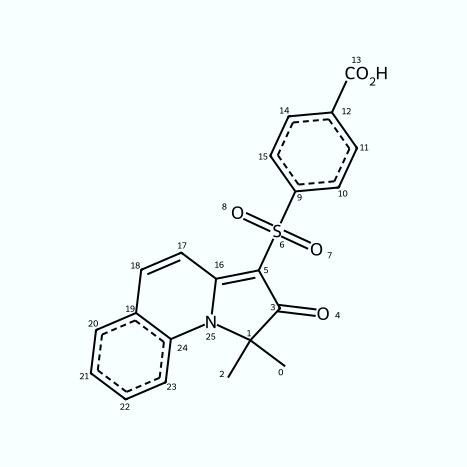 CC1(C)C(=O)C(S(=O)(=O)c2ccc(C(=O)O)cc2)=C2C=Cc3ccccc3N21